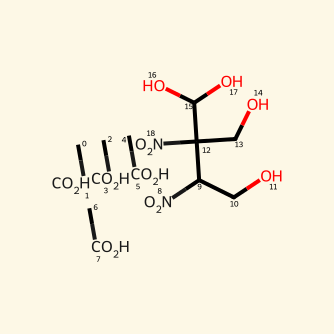 CC(=O)O.CC(=O)O.CC(=O)O.CC(=O)O.O=[N+]([O-])C(CO)C(CO)(C(O)O)[N+](=O)[O-]